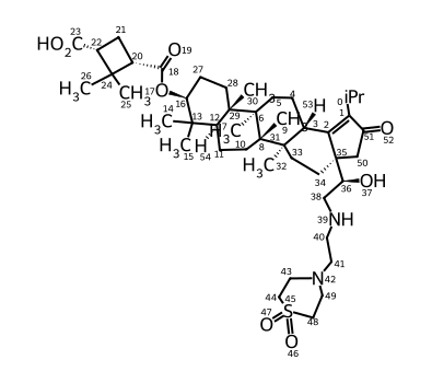 CC(C)C1=C2[C@H]3CC[C@@]4(C)[C@@](C)(CC[C@H]5C(C)(C)[C@@H](OC(=O)[C@H]6C[C@@H](C(=O)O)C6(C)C)CC[C@@]54C)[C@]3(C)CC[C@@]2([C@@H](O)CNCCN2CCS(=O)(=O)CC2)CC1=O